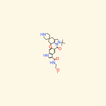 COCCNC(=O)c1c[nH]c2ccc(C(=O)N3C4=C(CN3C(C)(C)C)CC3(CCNCC3)CC4=O)cc12